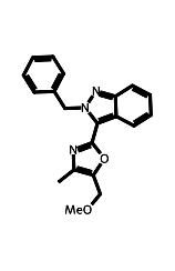 COCc1oc(-c2c3ccccc3nn2Cc2ccccc2)nc1C